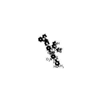 CC(C)c1ccccc1[C@@H]1CCCN1C1CC2(CCN(c3ccc(C(=O)NS(=O)(=O)c4cc5c(c([N+](=O)[O-])c4)N[C@@H]([C@H]4CC[C@](C)(O)CC4)CO5)c(Oc4cc5cc[nH]c5nc4OC4CS(=O)(=O)C4)c3)CC2)C1